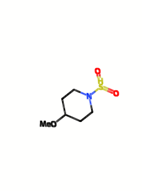 COC1CCN([SH](=O)=O)CC1